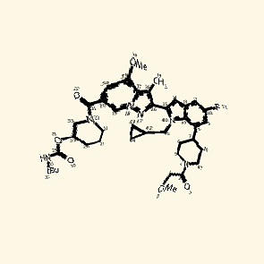 COCC(=O)N1CCC(c2cc(F)cc3cc(-c4nn5cc(C(=O)N6CCC[C@@H](OC(=O)NC(C)(C)C)C6)cc(OC)c5c4C)n(CC4CC4)c23)CC1